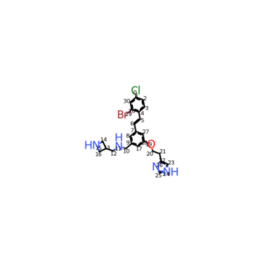 Clc1ccc(/C=C/c2cc(CNCC3CNC3)cc(OCCc3c[nH]cn3)c2)c(Br)c1